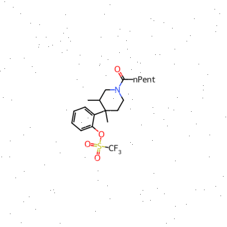 CCCCCC(=O)N1CCC(C)(c2ccccc2OS(=O)(=O)C(F)(F)F)C(C)C1